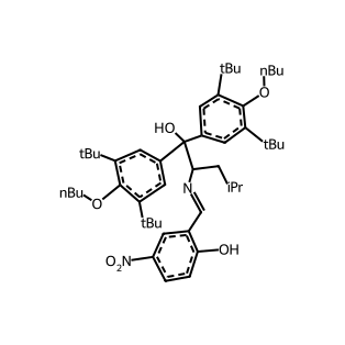 CCCCOc1c(C(C)(C)C)cc(C(O)(c2cc(C(C)(C)C)c(OCCCC)c(C(C)(C)C)c2)C(CC(C)C)N=Cc2cc([N+](=O)[O-])ccc2O)cc1C(C)(C)C